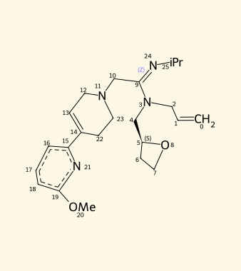 C=CCN(C[C@@H]1CCO1)/C(CN1CC=C(c2cccc(OC)n2)CC1)=N\C(C)C